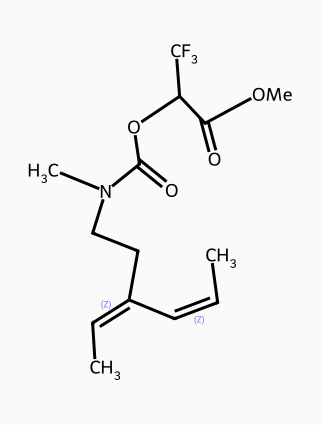 C/C=C\C(=C/C)CCN(C)C(=O)OC(C(=O)OC)C(F)(F)F